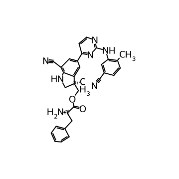 Cc1ccc(C#N)cc1Nc1nccc(-c2cc(C#N)c3c(c2)[C@@](C)(COC(=O)[C@H](N)Cc2ccccc2)CN3)n1